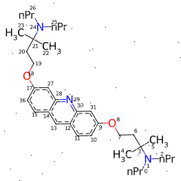 CCCN(CCC)C(C)(C)CCOc1ccc2cc3ccc(OCCC(C)(C)N(CCC)CCC)cc3nc2c1